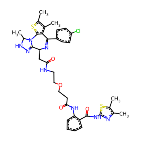 Cc1nc(NC(=O)c2ccccc2NC(=O)CCOCCNC(=O)C[C@@H]2N=C(c3ccc(Cl)cc3)c3c(sc(C)c3C)N3C2=NNC3C)sc1C